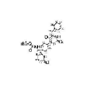 CC(C)(C)OC(=O)NCC1(c2cccc(Cl)c2)CCC(N2CC(=O)N[C@@H](Cc3ccccc3)C2=O)CC1